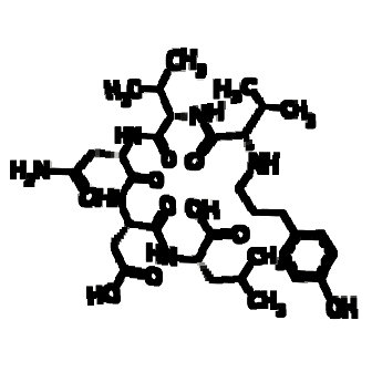 CC(C)C[C@H](NC(=O)[C@H](CC(=O)O)NC(=O)[C@H](CC(N)=O)NC(=O)[C@@H](NC(=O)[C@@H](NCCCc1ccc(O)cc1)C(C)C)C(C)C)C(=O)O